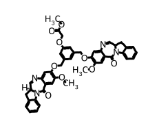 COC(=O)COc1cc(COc2cc3c(cc2OC)C(=O)N2c4ccccc4CC2C=N3)cc(COc2cc3c(cc2OC)C(=O)N2c4ccccc4C[C@H]2C=N3)c1